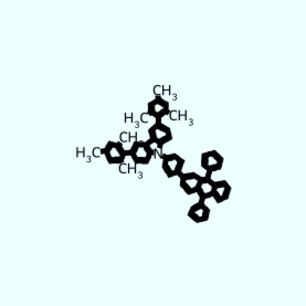 Cc1cc(C)c(-c2ccc3c(c2)c2cc(-c4c(C)cc(C)cc4C)ccc2n3-c2ccc(-c3ccc4c(-c5ccccc5)c5ccccc5c(-c5ccccc5)c4c3)cc2)c(C)c1